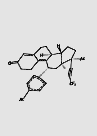 CC(=O)c1ccc([C@H]2C[C@@]3(C)[C@@H](CC[C@]3(C#CC(F)(F)F)C(C)=O)[C@@H]3CCC4=CC(=O)CCC4=C32)cc1